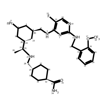 CCCC1C[C@@H](CNc2nc(NCc3ccccc3OC(F)(F)F)ncc2F)C[C@H]([C@H](C)NC[C@H]2CC[C@H](C(N)=O)CC2)C1